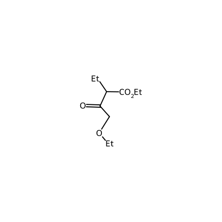 CCOCC(=O)C(CC)C(=O)OCC